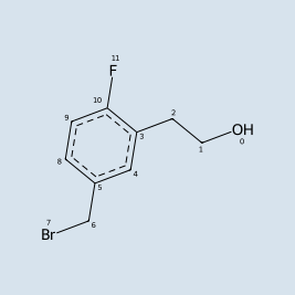 OCCc1cc(CBr)ccc1F